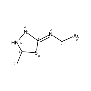 CC(=O)CN=C1[N]NC(C)S1